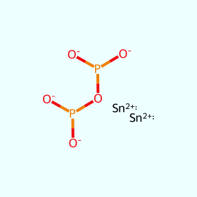 [O-]P([O-])OP([O-])[O-].[Sn+2].[Sn+2]